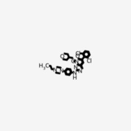 CCCN1CCN(c2ccc(Nc3ncc4cc(-c5c(Cl)cccc5Cl)c(=O)n(OCC5CCOCC5)c4n3)cc2)CC1